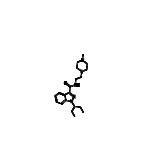 CCC(CC)n1nc(C(=O)NCCN2CCN(C)CC2)c2ccccc21